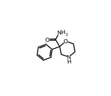 NC(=O)C1(c2[c]cccc2)CNCCO1